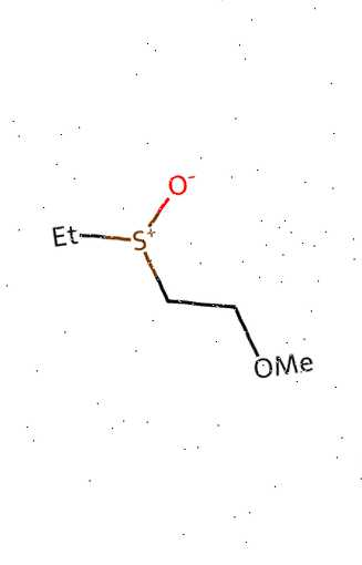 CC[S+]([O-])CCOC